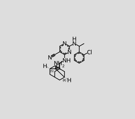 CC(Nc1ncc(C#N)c(NC[C@]23CC4C[C@H](C2)[C@@H](N)[C@@H](C4)C3)n1)c1ccccc1Cl